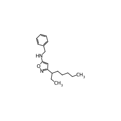 CCCCCC(CC)c1cc(NCc2ccccc2)on1